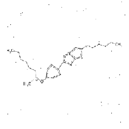 CCCCCCc1cn2cc(-c3ccc(O[C@H](C)CCCCCC)cc3)nc2s1